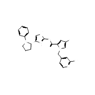 O=C(Nc1nc([C@H]2CCCN2c2ccccc2)cs1)c1cc(Cl)cn1Cc1ccnc(F)c1